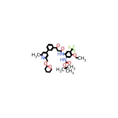 CCOc1cc(NC(=O)OC(C)(C)C)c(NC(=O)CC(=O)c2cccc(-c3cc(C)nc(COC4CCCCO4)c3)c2)cc1C(F)(F)F